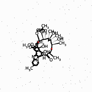 COc1c(C)c(O)c2c(O)c3c4c(nc5cc(C)ccn54)c2c1C(=O)C/C=C/C(OC)[C@@H](C)[C@@H](OC(C)=O)[C@H](C)[C@H](O)[C@H](C)[C@@H](O)[C@@H](C)/C=C/C=C(/C)C(=O)N3